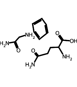 NC(=O)CCC(N)C(=O)O.NCC(N)=O.c1ccccc1